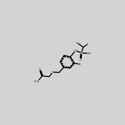 NC(=O)CSCc1ccc(OP(=O)(O)C(F)F)c(Br)c1